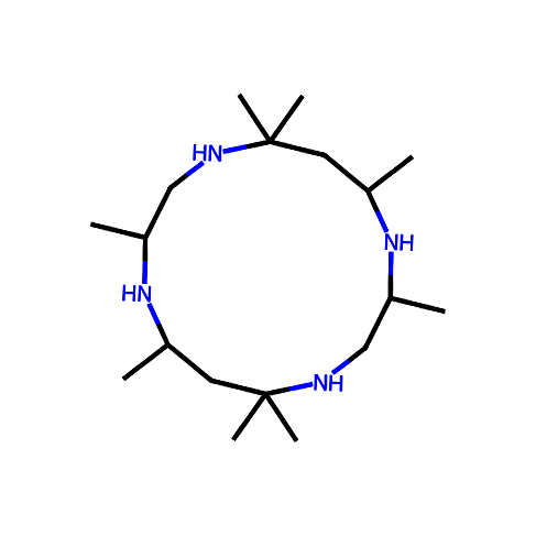 CC1CNC(C)(C)CC(C)NC(C)CNC(C)(C)CC(C)N1